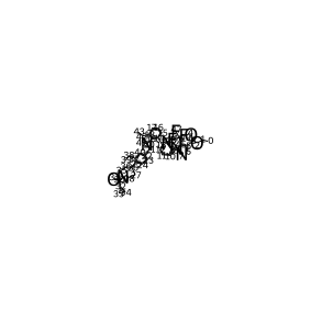 CCOC(=O)c1cnn(-c2cccc(-c3cccc4c3N(Cc3ccc(C5CCN(C(=O)C6CC6)CC5)c(CC)c3)CC4C)n2)c1C(F)(F)F